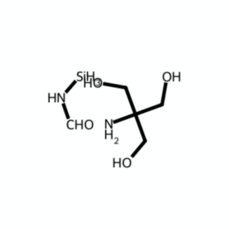 NC(CO)(CO)CO.O=CN[SiH3]